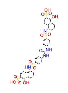 O=C(Nc1ccc(S(=O)(=O)Nc2cccc3c(O)c(S(=O)(=O)O)ccc23)cc1)Nc1ccc(S(=O)(=O)Nc2cccc3c(O)c(S(=O)(=O)O)ccc23)cc1